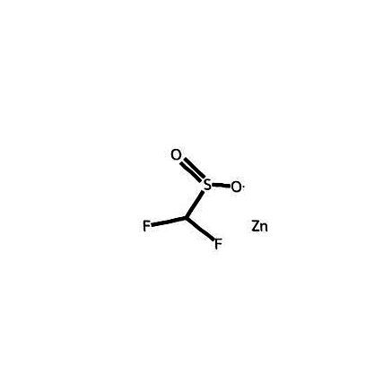 [O]S(=O)C(F)F.[Zn]